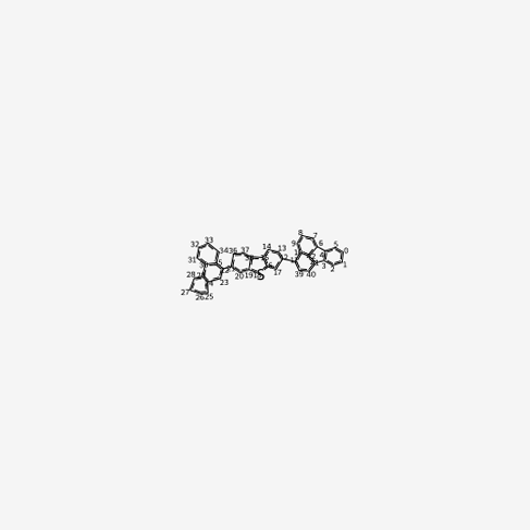 c1ccc2c(c1)-c1cccc3c(-c4ccc5c(c4)sc4cc(-c6cc7ccccc7c7ccccc67)ccc45)ccc-2c13